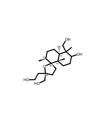 C[C@H]1CC[C@H]2C(C)(CO)C(O)CC[C@]2(C)[C@@]12CC[C@](CO)(CCO)O2